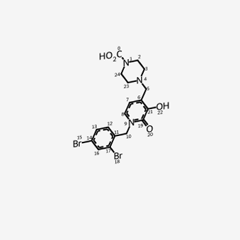 O=C(O)N1CCN(Cc2ccn(Cc3ccc(Br)cc3Br)c(=O)c2O)CC1